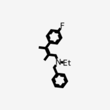 CCN(C/C(C)=C(/C)c1ccc(F)cc1)Cc1ccccc1